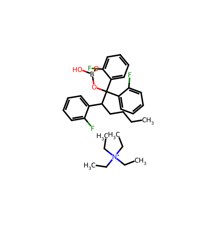 CCCCC(c1ccccc1F)C(OB([O-])O)(c1ccccc1F)c1ccccc1F.CC[N+](CC)(CC)CC